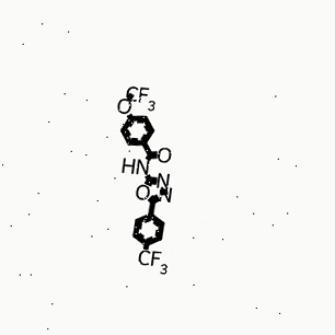 O=C(Nc1nnc(-c2ccc(C(F)(F)F)cc2)o1)c1ccc(OC(F)(F)F)cc1